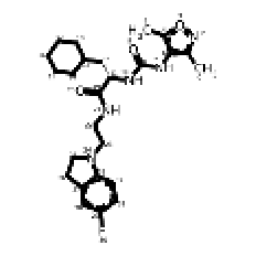 Cc1noc(C)c1NC(=O)N[C@@H](CC1CCCCC1)C(=O)NCCN1CCc2cc(F)ccc21